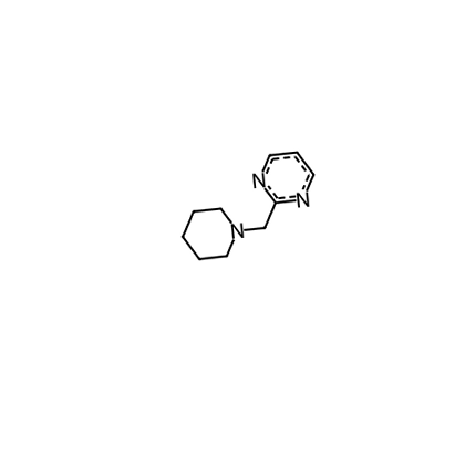 c1cnc(CN2CCCCC2)nc1